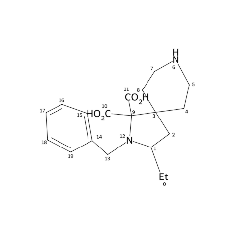 CCC1CC2(CCNCC2)C(C(=O)O)(C(=O)O)N1Cc1ccccc1